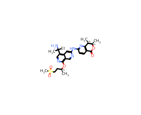 CCC(C)(N)c1cnc(O[C@@H](C)CCS(C)(=O)=O)c2cnc(Nc3ccc4c(n3)[C@@H](C)[C@@H](C)OC4=O)cc12